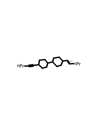 CCCC#CC1CCC(C2CCC(/C=C/CCC)CC2)CC1